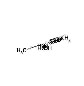 C=COOOOOOOOCCCCCCCCCCCCCCCCCC.O=P(O)(O)O